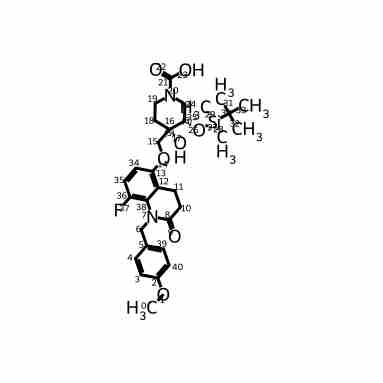 COc1ccc(CN2C(=O)CCc3c(OC[C@@]4(O)CCN(C(=O)O)C[C@@H]4O[Si](C)(C)C(C)(C)C)ccc(F)c32)cc1